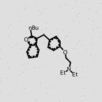 CCCCc1oc2ccccc2c1[CH]c1ccc(OCCN(CC)CC)cc1